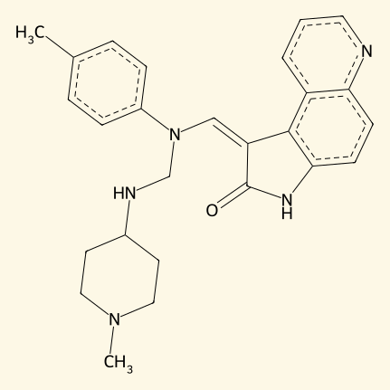 Cc1ccc(N(C=C2C(=O)Nc3ccc4ncccc4c32)CNC2CCN(C)CC2)cc1